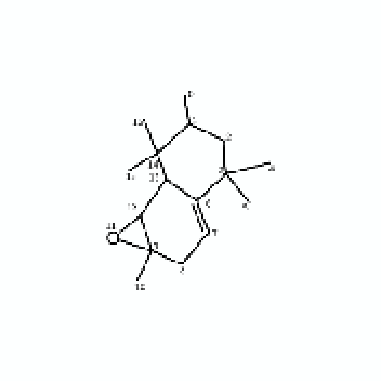 CC1CC(C)(C)C2=CCC3(C)OC3C2C1(C)C